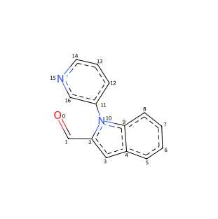 O=Cc1cc2ccccc2n1-c1cccnc1